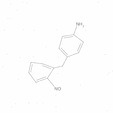 Nc1ccc(Cc2ccccc2N=O)cc1